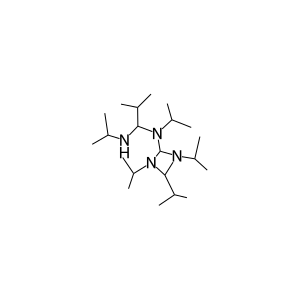 CC(C)NC(C(C)C)N(C(C)C)C1N(C(C)C)C(C(C)C)N1C(C)C